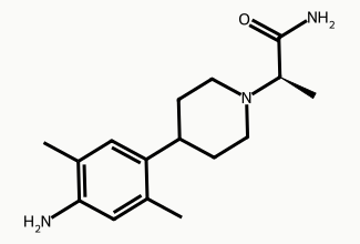 Cc1cc(C2CCN([C@H](C)C(N)=O)CC2)c(C)cc1N